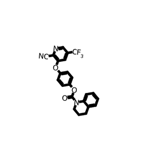 N#Cc1ncc(C(F)(F)F)cc1Oc1ccc(OC(=O)N2CCCc3ccccc32)cc1